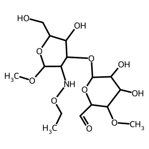 CCONC1C(OC)OC(CO)C(O)C1OC1OC(C=O)C(OC)C(O)C1O